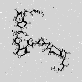 Cc1nc2cc(C(=O)Nc3nc(-c4cc(-c5cocc5-c5nnc(NC(=O)c6ccc7c(c6)nc(C)n7CCCN)s5)co4)cs3)ccc2n1CCCN